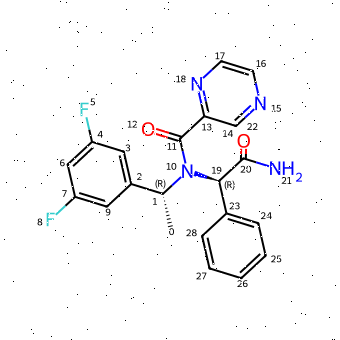 C[C@H](c1cc(F)cc(F)c1)N(C(=O)c1cnccn1)[C@@H](C(N)=O)c1ccccc1